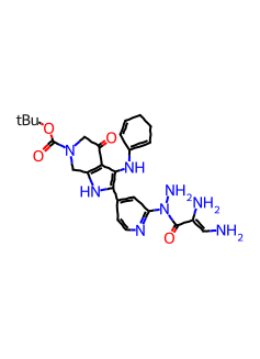 CC(C)(C)OC(=O)N1CC(=O)c2c([nH]c(-c3ccnc(N(N)C(=O)/C(N)=C/N)c3)c2NC2=CCCC=C2)C1